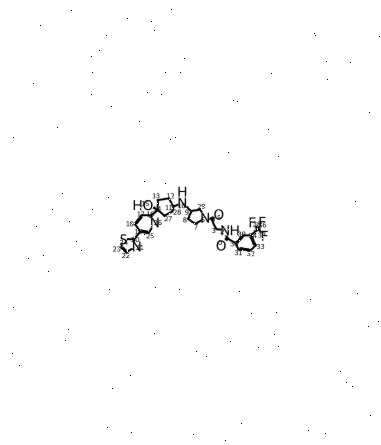 O=C(NCC(=O)N1CCC(NC2CCC(O)(c3ccc(-c4nccs4)cn3)CC2)C1)c1cccc(C(F)(F)F)c1